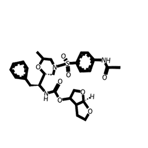 CC(=O)Nc1ccc(S(=O)(=O)N2CC(C)O[C@@H]([C@H](Cc3ccccc3)NC(=O)OC3CO[C@H]4OCCC34)C2)cc1